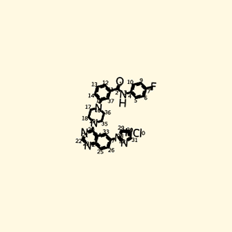 Cl.O=C(Nc1ccc(F)cc1)c1cccc(N2CCN(c3ncnc4ccc(-n5cccn5)cc34)CC2)c1